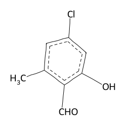 Cc1cc(Cl)cc(O)c1C=O